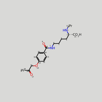 CC(C)N[C@@H](CCCCNC(=O)c1ccc(OCC(=O)C(C)C)cc1)C(=O)O